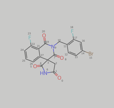 O=C1CC2(C(=O)N1)C(=O)N(Cc1ccc(Br)cc1F)C(=O)c1c(F)cccc12